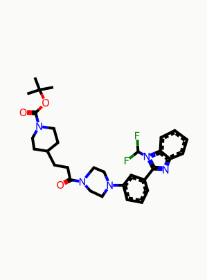 CC(C)(C)OC(=O)N1CCC(CCC(=O)N2CCN(c3cccc(-c4nc5ccccc5n4C(F)F)c3)CC2)CC1